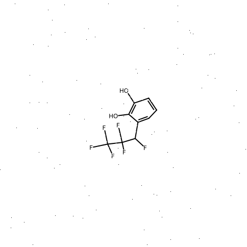 Oc1cccc(C(F)C(F)(F)C(F)(F)F)c1O